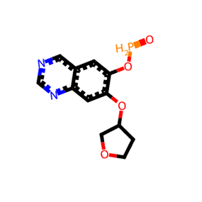 O=[PH2]Oc1cc2cncnc2cc1OC1CCOC1